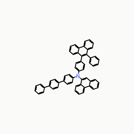 c1ccc(-c2ccc(-c3ccc(N(c4ccc(-c5c(-c6ccccc6)c6ccccc6c6ccccc56)cc4)c4cc5ccccc5c5ccccc45)cc3)cc2)cc1